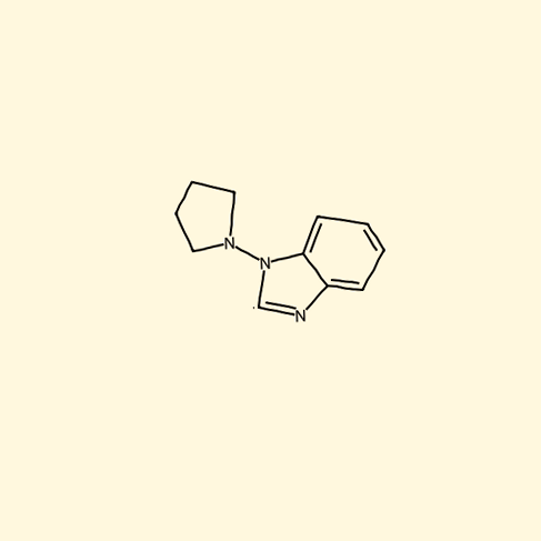 [c]1nc2ccccc2n1N1CCCC1